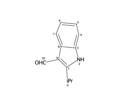 CC(C)c1[nH]c2ccccc2c1C=O